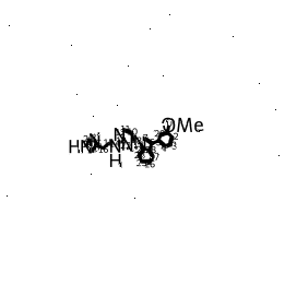 COc1cccc(-c2cn(-c3ccnc(NCCc4c[nH]cn4)n3)c3ccccc23)c1